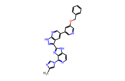 Cc1cn(-c2nccc3[nH]c(-c4n[nH]c5ncc(-c6cncc(OCc7ccccc7)c6)cc45)nc23)cn1